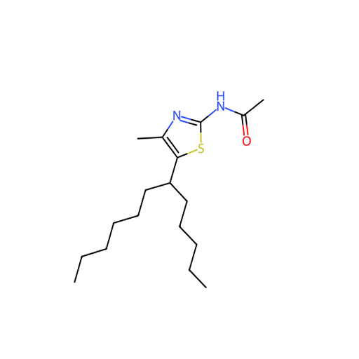 CCCCCCC(CCCCC)c1sc(NC(C)=O)nc1C